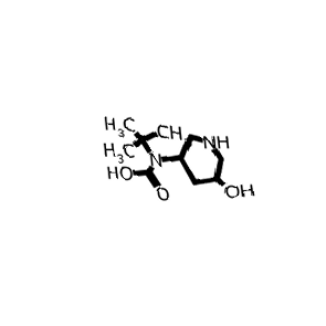 CC(C)(C)N(C(=O)O)C1CNCC(O)C1